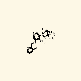 Cc1c(OCc2ncccc2F)cncc1B1OC(C)(C)C(C)(C)O1